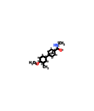 CNC(=O)C12CCC(c3ccc(OC)c(C)c3)(CC1)CC2